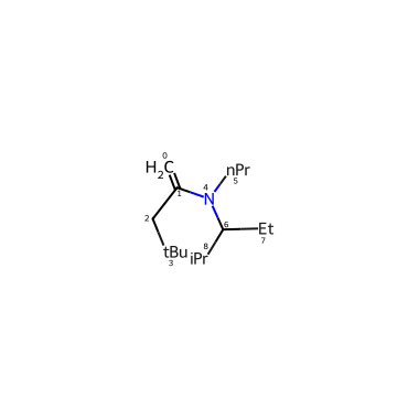 C=C(CC(C)(C)C)N(CCC)C(CC)C(C)C